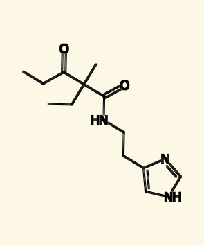 CCC(=O)C(C)(CC)C(=O)NCCc1c[nH]cn1